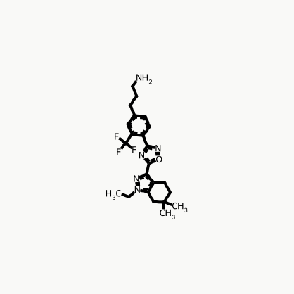 CCn1nc(-c2nc(-c3ccc(CCCN)cc3C(F)(F)F)no2)c2c1CC(C)(C)CC2